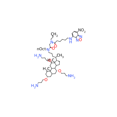 C=CCN(CC(=O)N(CCCCCCCC)CCC[C@@H](C)[C@H]1CCC2C3C(C[C@H](OCCCN)[C@@]21C)[C@@]1(C)CC[C@@H](OCCCN)CC1C[C@H]3OCCCN)C(=O)CCCCCNc1ccc([N+](=O)[O-])c2nonc12